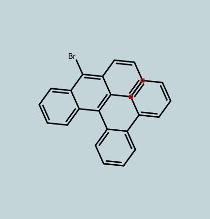 Brc1c2ccccc2c(-c2ccccc2-c2ccccc2)c2ccccc12